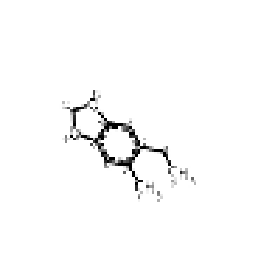 CCc1cc2c(cc1C)OCO2